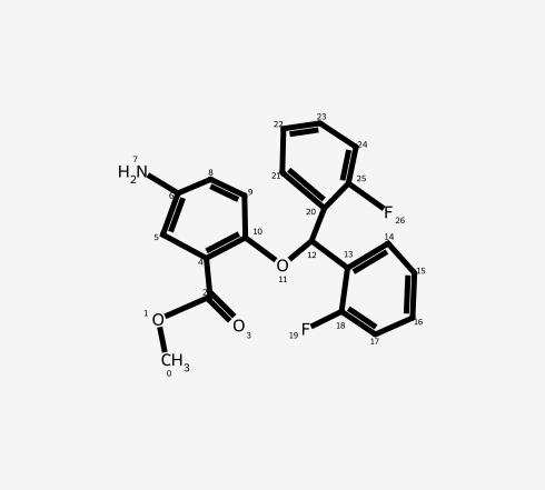 COC(=O)c1cc(N)ccc1OC(c1ccccc1F)c1ccccc1F